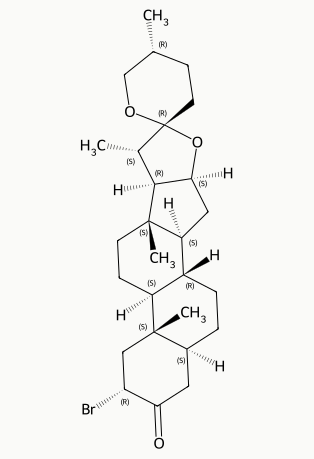 C[C@@H]1CC[C@@]2(OC1)O[C@H]1C[C@H]3[C@@H]4CC[C@H]5CC(=O)[C@H](Br)C[C@]5(C)[C@H]4CC[C@]3(C)[C@H]1[C@@H]2C